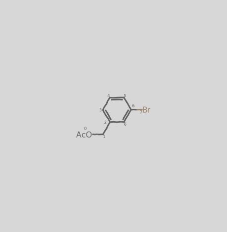 CC(=O)OCc1cccc(Br)c1